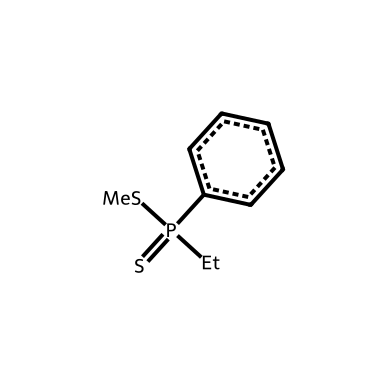 CCP(=S)(SC)c1ccccc1